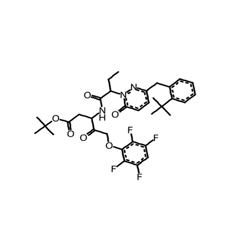 CCC(C(=O)NC(CC(=O)OC(C)(C)C)C(=O)COc1c(F)c(F)cc(F)c1F)n1nc(Cc2ccccc2C(C)(C)C)ccc1=O